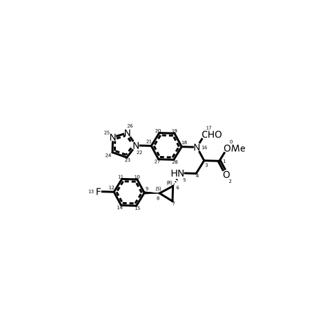 COC(=O)C(CN[C@@H]1C[C@H]1c1ccc(F)cc1)N(C=O)c1ccc(-n2ccnn2)cc1